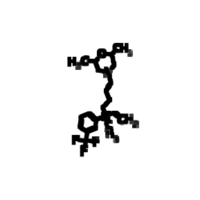 C=C[Si](C)(CCCCN1CC(C)OC(C)C1)c1cccc(C(F)(F)F)c1